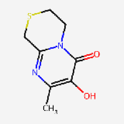 Cc1nc2n(c(=O)c1O)CCSC2